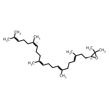 CC(C)=CCC/C(C)=C\CCC(C)=CCCC=C(C)CCC=C(C)CC[C@@H]1OC1(C)C